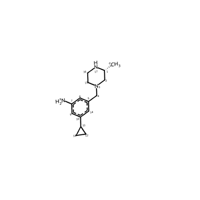 C[C@@H]1CN(Cc2cc(N)cc(C3CC3)c2)CCN1